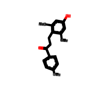 COc1ccc(C(=O)CCc2c(OC)cc(O)cc2OC)cc1